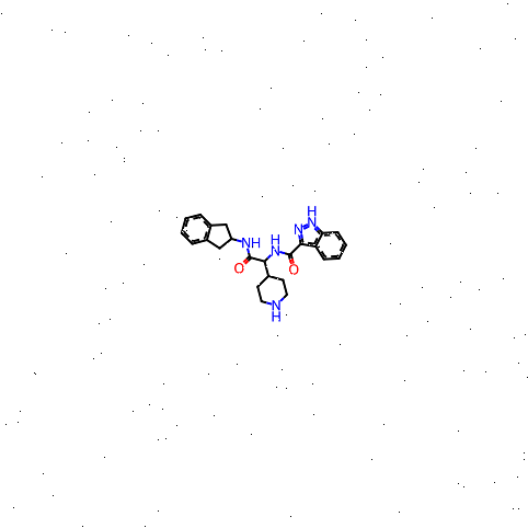 O=C(NC(C(=O)NC1Cc2ccccc2C1)C1CCNCC1)c1n[nH]c2ccccc12